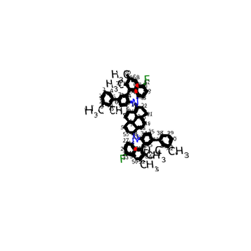 Cc1cccc(-c2ccc(N(C3=C4C=CC5=C6C(=CC=C(C=C3)C46)C(N(c3ccc(F)cc3)c3ccc(-c4cccc(C)c4C)cc3-c3cccc(C)c3C)C=C5)c3ccc(F)cc3)c(-c3cccc(C)c3C)c2)c1C